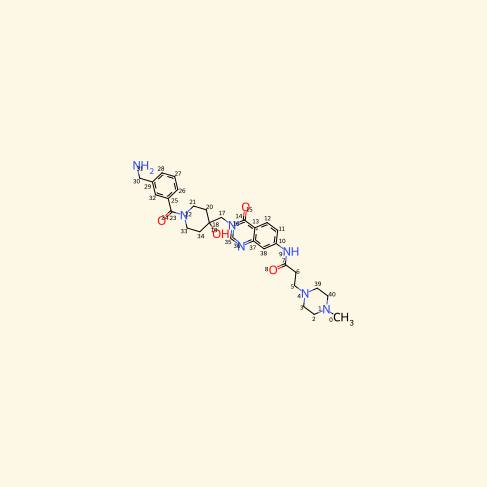 CN1CCN(CCC(=O)Nc2ccc3c(=O)n(CC4(O)CCN(C(=O)c5cccc(CN)c5)CC4)cnc3c2)CC1